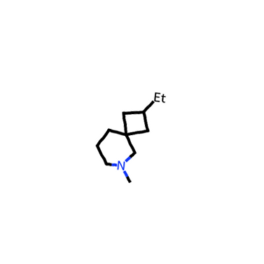 CCC1CC2(CCCN(C)C2)C1